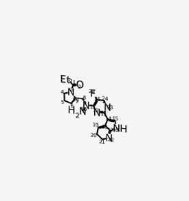 CCC(=O)N1CCC[C@@H]1CN(N)c1nc(-c2c[nH]c3c2=CCCN=3)ncc1F